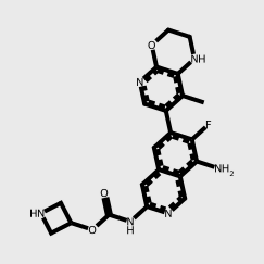 Cc1c(-c2cc3cc(NC(=O)OC4CNC4)ncc3c(N)c2F)cnc2c1NCCO2